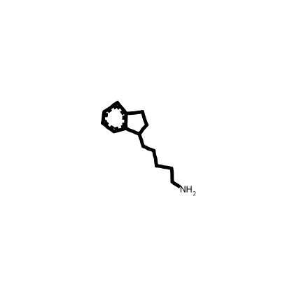 NCCCCCC1CCc2ccccc21